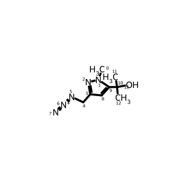 Cn1nc(CN=[N+]=[N-])cc1C(C)(C)O